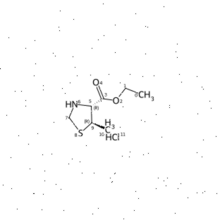 CCOC(=O)[C@H]1NCS[C@@H]1C.Cl